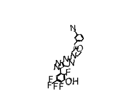 Cn1nc(-c2cc(C(F)(F)F)c(F)c(O)c2F)c2cnc(N3CCO[C@@H](Cc4cccc(C#N)c4)C3)nc21